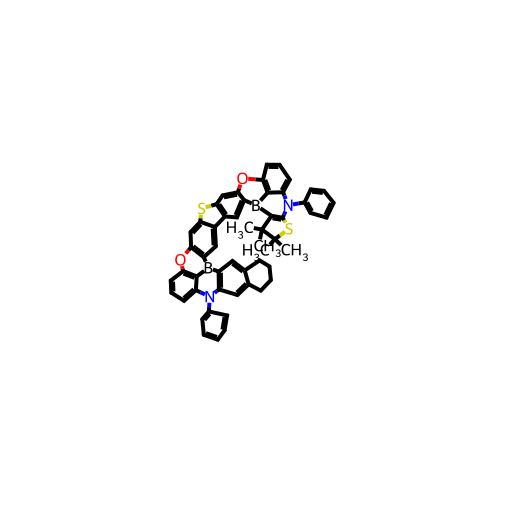 CC1(C)SC2=C(B3c4cc5c(cc4Oc4cccc(c43)N2c2ccccc2)sc2cc3c(cc25)B2c4cc5c(cc4N(c4ccccc4)c4cccc(c42)O3)CCCC5)C1(C)C